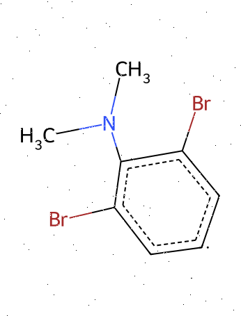 CN(C)c1c(Br)c[c]cc1Br